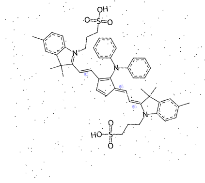 Cc1ccc2c(c1)C(C)(C)C(/C=C/C1=C(N(c3ccccc3)c3ccccc3)C(=C/C=C3/N(CCCS(=O)(=O)O)c4ccc(C)cc4C3(C)C)/C=C1)=[N+]2CCCS(=O)(=O)O